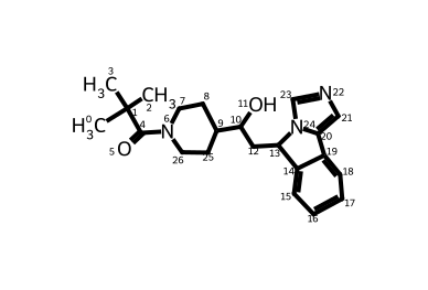 CC(C)(C)C(=O)N1CCC(C(O)CC2c3ccccc3-c3cncn32)CC1